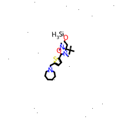 CN1OC(c2ccc(CN3CCCCCC3)s2)N(C)C1(CCO[SiH3])C(C)(C)C